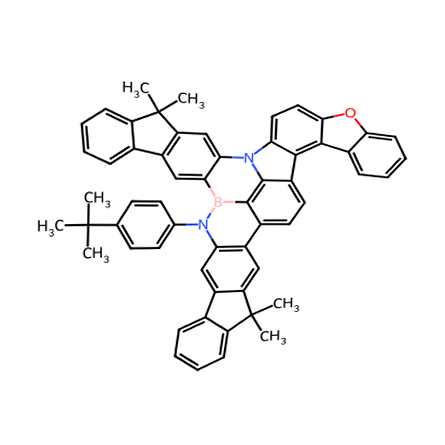 CC(C)(C)c1ccc(N2B3c4cc5c(cc4-n4c6ccc7oc8ccccc8c7c6c6ccc(c3c64)-c3cc4c(cc32)-c2ccccc2C4(C)C)C(C)(C)c2ccccc2-5)cc1